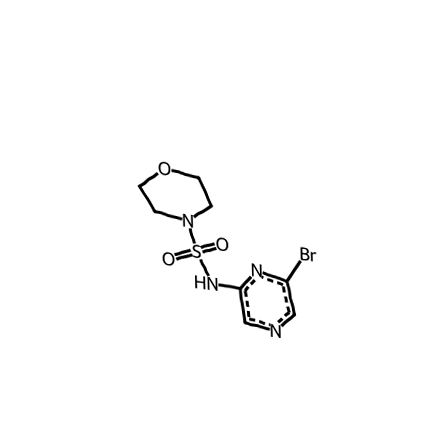 O=S(=O)(Nc1cncc(Br)n1)N1CCOCC1